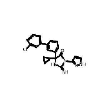 N=C1NC(c2cccc(-c3cccc(Cl)c3)c2)(C2CC2)C(=O)N1c1cc[nH]n1